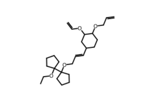 C=CCOC1CCC(C=CCOC2(C3(OCC)CCCC3)CCCC2)CC1OC=C